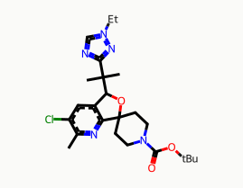 CCn1cnc(C(C)(C)C2OC3(CCN(C(=O)OC(C)(C)C)CC3)c3nc(C)c(Cl)cc32)n1